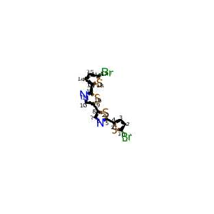 Brc1ccc(-c2ncc(-c3cnc(-c4ccc(Br)s4)s3)s2)s1